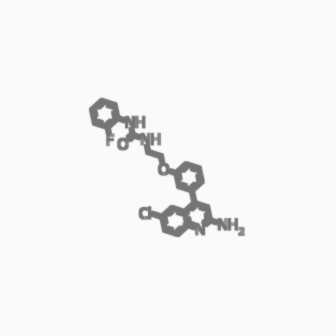 Nc1cc(-c2cccc(OCCNC(=O)Nc3ccccc3F)c2)c2cc(Cl)ccc2n1